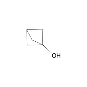 OC12CC(C1)C2